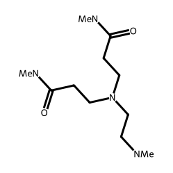 CNCCN(CCC(=O)NC)CCC(=O)NC